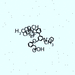 C[C@@H](NC(=O)OC(C)(C)C)c1cccc(-c2cc(COc3ccccc3CC(=O)O)cc(N(C)C[C@@H]3CCCO3)c2)c1F